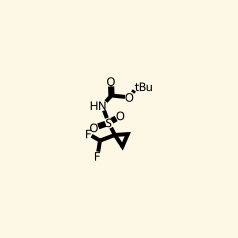 CC(C)(C)OC(=O)NS(=O)(=O)C1(C(F)F)CC1